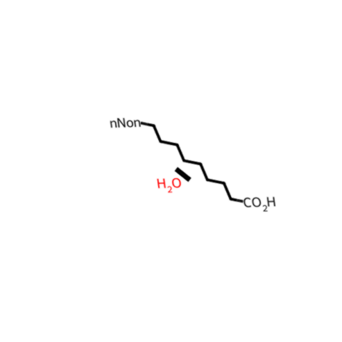 C=C.CCCCCCCCCCCCCCCCCC(=O)O.O